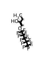 CCC(O)=COC(F)(F)C(F)(F)C(F)(F)C(F)(F)C(F)(F)F